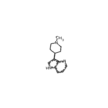 CN1CCC(c2c[nH]c3cccnc23)CC1